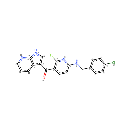 O=C(c1ccc(NCc2ccc(Cl)cc2)nc1F)c1c[nH]c2ncccc12